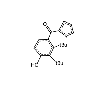 CC(C)(C)c1c(O)ccc(C(=O)c2cccs2)c1C(C)(C)C